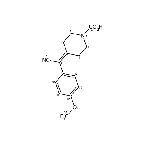 N#CC(=C1CCN(C(=O)O)CC1)c1ccc(OC(F)(F)F)cc1